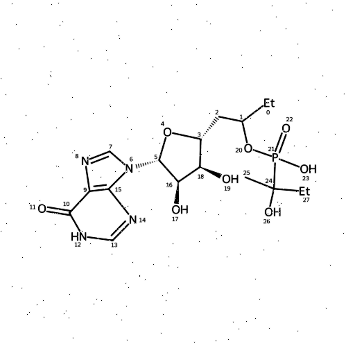 CCC(C[C@H]1O[C@@H](n2cnc3c(=O)[nH]cnc32)[C@H](O)[C@@H]1O)OP(=O)(O)C(C)(O)CC